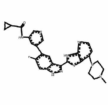 CN1CCN(c2ccnc3[nH]c(-c4n[nH]c5cc(F)c(-c6cncc(NC(=O)C7CC7)c6)cc45)nc23)CC1